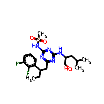 CCC(Cc1nc(NC(CO)CC(C)C)nc(NS(C)(=O)=O)n1)c1cccc(F)c1F